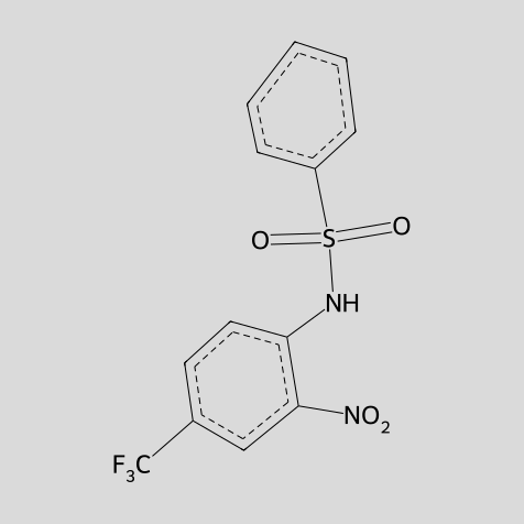 O=[N+]([O-])c1cc(C(F)(F)F)ccc1NS(=O)(=O)c1ccccc1